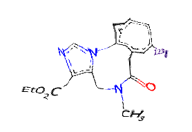 CCOC(=O)c1ncn2c1CN(C)C(=O)c1c([123I])cccc1-2